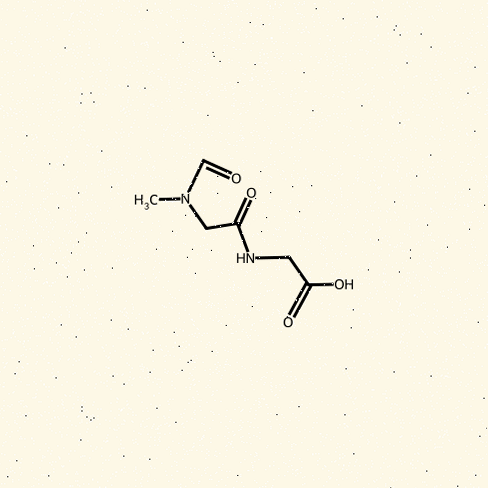 CN(C=O)CC(=O)NCC(=O)O